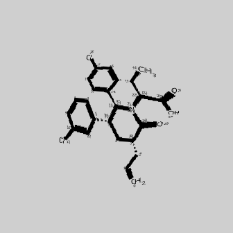 C=CC[C@@H]1C[C@H](c2cccc(Cl)c2)[C@@H](c2ccc(Cl)cc2)N([C@@H](CC)C(=O)O)C1=O